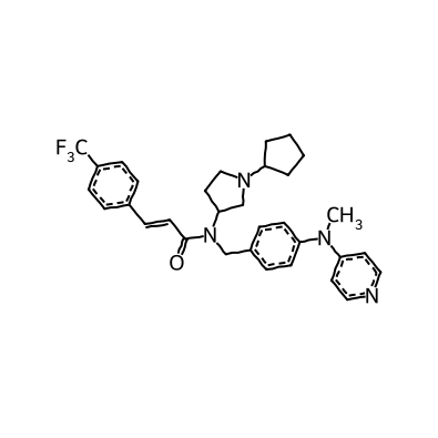 CN(c1ccncc1)c1ccc(CN(C(=O)C=Cc2ccc(C(F)(F)F)cc2)C2CCN(C3CCCC3)C2)cc1